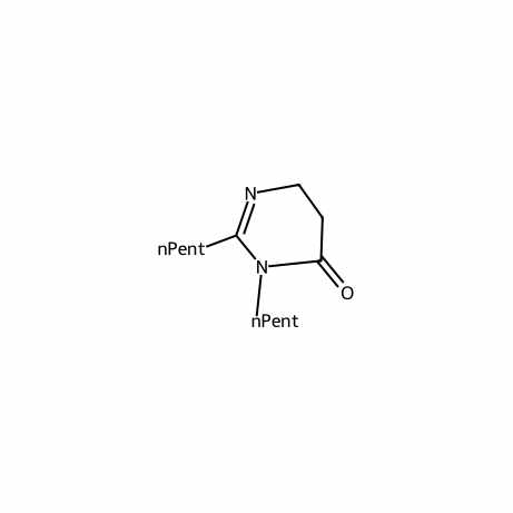 CCCCCC1=NCCC(=O)N1CCCCC